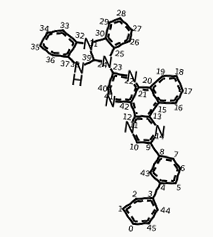 c1ccc(-c2cccc(-c3cnc4c(n3)c3ccccc3c3nc(N5c6ccccc6N6c7ccccc7NC56)cnc34)c2)cc1